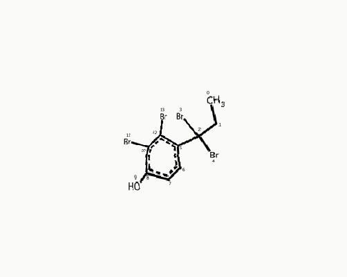 CCC(Br)(Br)c1ccc(O)c(Br)c1Br